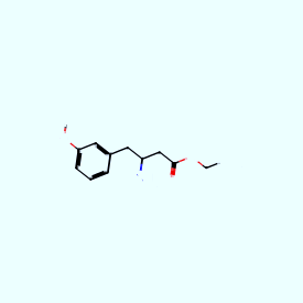 CCOC(=O)CC(N)Cc1cccc(OC)c1